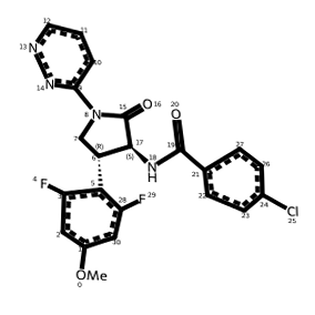 COc1cc(F)c([C@@H]2CN(c3cccnn3)C(=O)[C@H]2NC(=O)c2ccc(Cl)cc2)c(F)c1